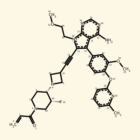 C=CC(=O)N1CC[C@H](N2CC(C#Cc3c(-c4ccc(Oc5cccc(C)n5)c(OC)c4)c4c(N)ncnc4n3CCOC)C2)[C@H](F)C1